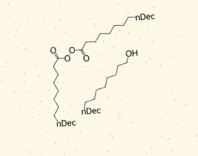 CCCCCCCCCCCCCCCCCC(=O)OOC(=O)CCCCCCCCCCCCCCCCC.CCCCCCCCCCCCCCCCCCO